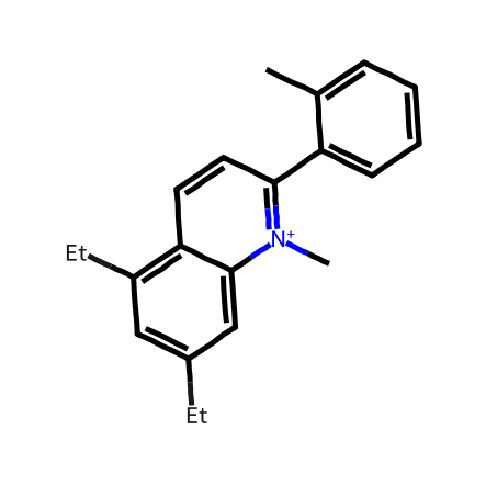 CCc1cc(CC)c2ccc(-c3ccccc3C)[n+](C)c2c1